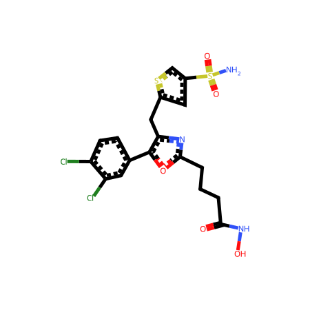 NS(=O)(=O)c1csc(Cc2nc(CCCC(=O)NO)oc2-c2ccc(Cl)c(Cl)c2)c1